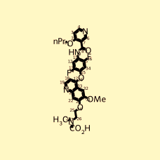 CCCOc1ccncc1C(=O)Nc1cc(F)c(Oc2ccnc3cc(OCCN(C)C(=O)O)c(OC)cc23)cc1F